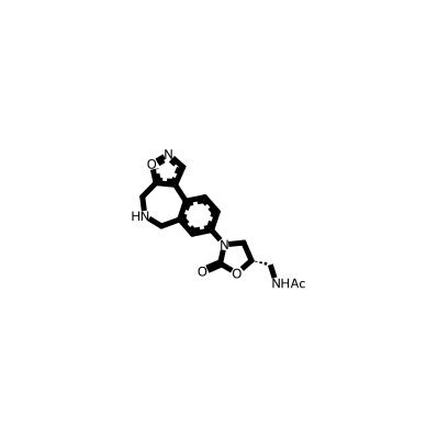 CC(=O)NC[C@H]1CN(c2ccc3c(c2)CNCc2oncc2-3)C(=O)O1